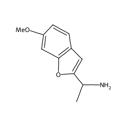 COc1ccc2cc(C(C)N)oc2c1